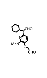 CNc1nc(N(C=O)C2CCCCC2)ccc1OCC=O